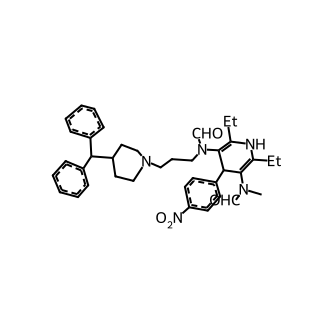 CCC1=C(N(C)C=O)C(c2ccc([N+](=O)[O-])cc2)C(N(C=O)CCCN2CCC(C(c3ccccc3)c3ccccc3)CC2)=C(CC)N1